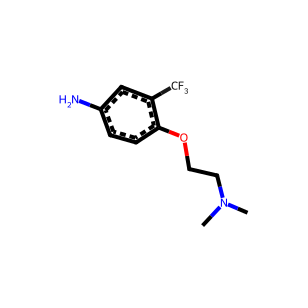 CN(C)CCOc1ccc(N)cc1C(F)(F)F